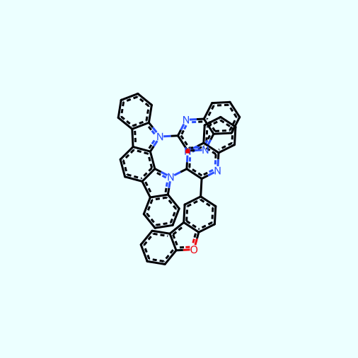 c1ccc2nc(-n3c4ccccc4c4ccc5c6ccccc6n(-c6nc7ccccc7nc6-c6ccc7oc8ccccc8c7c6)c5c43)cnc2c1